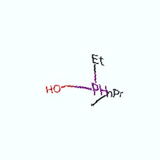 CCCC.CCPO